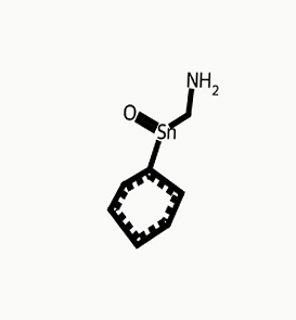 N[CH2][Sn](=[O])[c]1ccccc1